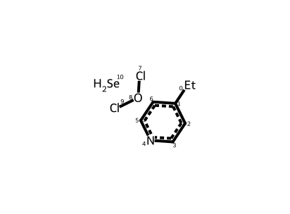 CCc1ccncc1.ClOCl.[SeH2]